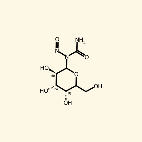 NC(=O)N(N=O)C1OC(CO)[C@H](O)[C@H](O)[C@H]1O